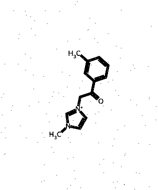 Cc1cccc(C(=O)C[n+]2ccn(C)c2)c1